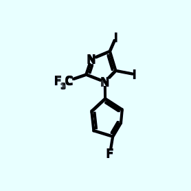 Fc1ccc(-n2c(C(F)(F)F)nc(I)c2I)cc1